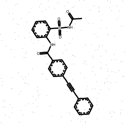 CC(=O)NS(=O)(=O)c1ccccc1NC(=O)c1ccc(C#Cc2ccccc2)cc1